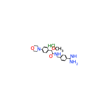 COC(C(=O)NCc1ccc(C(=N)N)cc1)c1ccc(N2CCOCC2)cc1.Cl